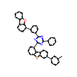 Cc1cccc(-c2ccc3c(c2)sc2cccc(-c4nc(-c5ccccc5)nc(-c5cccc(-c6cccc7c6oc6ccccc67)c5)n4)c23)c1